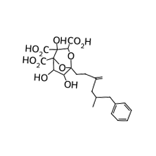 C=C(CCC12OC(C(=O)O)C(O)(C(=O)O)C(C(=O)O)(O1)C(O)C2O)CC(C)Cc1ccccc1